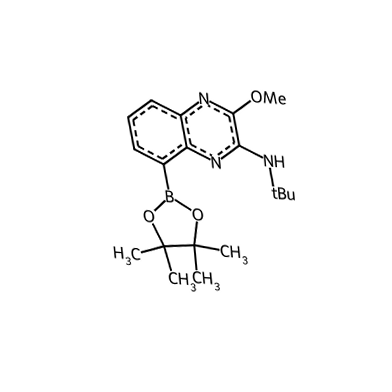 COc1nc2cccc(B3OC(C)(C)C(C)(C)O3)c2nc1NC(C)(C)C